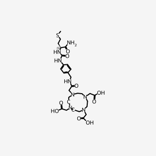 CSCC[C@H](NC(=O)Nc1ccc(CNC(=O)CN2CCN(CC(=O)O)CCN(CC(=O)O)CCN(CC(=O)O)CC2)cc1)C(N)=O